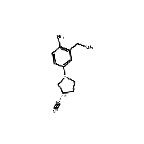 CCc1cc(N2CC[C@H](C#N)C2)ccc1N